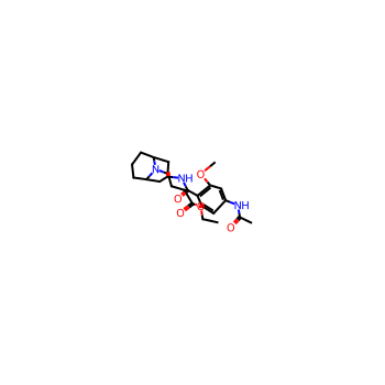 CCOC(=O)CCCN1C2CCCC1CC(NC(=O)c1ccc(NC(C)=O)cc1OC)C2